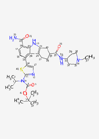 CC(C)N(C(=O)OC(C)(C)C)c1ncc(-c2ccc(C(N)=O)c3[nH]c4c(c23)CCC(C(=O)NC2CCN(C)CC2)C4)s1